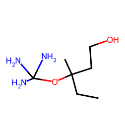 CCC(C)(CCO)OC(N)(N)N